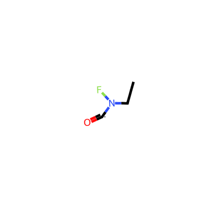 CCN(F)[C]=O